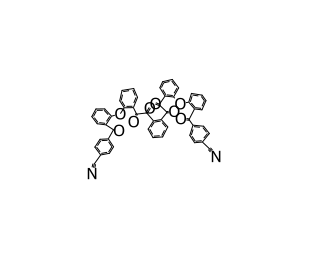 N#Cc1ccc(C(=O)c2ccccc2Oc2ccccc2C(=O)C(=O)c2ccccc2C(=O)C(=O)c2ccccc2Oc2ccccc2C(=O)c2ccc(C#N)cc2)cc1